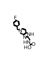 O=C(O)NCc1nc2c([nH]1)C=CN(Cc1ccc(F)cc1)C2